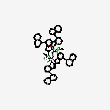 CC[SiH2][Zr]([Cl])([Cl])([CH2][CH2][Zr]([Cl])([Cl])([SiH2]CC)([CH]1C(C)=Cc2c(-c3cccc4ccccc34)cccc21)[CH]1C(C)=Cc2c(-c3cccc4ccccc34)cccc21)([CH]1C(C)=Cc2c(-c3cccc4ccccc34)cccc21)[CH]1C(C)=Cc2c(-c3cccc4ccccc34)cccc21